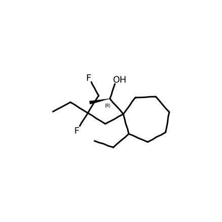 CCC1CCCCCC1(CC(F)(CC)CF)[C@@H](C)O